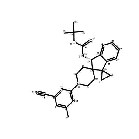 Cc1cc(C#N)nc(N2CCC3(CC2)[C@H](NC(=O)OC(C)(C)C)c2ccccc2C32CC2)n1